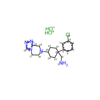 Cl.Cl.NCC1(c2cccc(Cl)c2)CCC(N2CCn3cnnc3C2)CC1